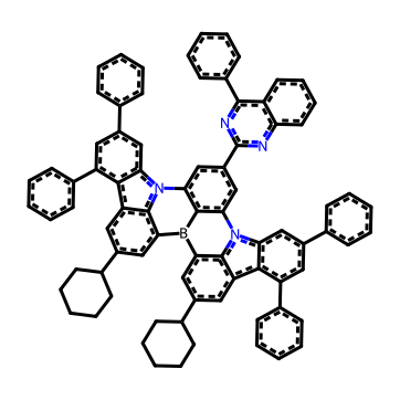 c1ccc(-c2cc(-c3ccccc3)c3c4cc(C5CCCCC5)cc5c4n(c3c2)-c2cc(-c3nc(-c4ccccc4)c4ccccc4n3)cc3c2B5c2cc(C4CCCCC4)cc4c5c(-c6ccccc6)cc(-c6ccccc6)cc5n-3c24)cc1